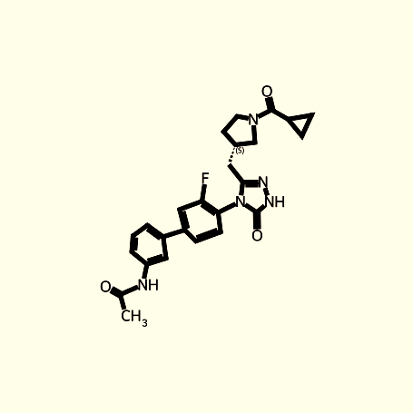 CC(=O)Nc1cccc(-c2ccc(-n3c(C[C@@H]4CCN(C(=O)C5CC5)C4)n[nH]c3=O)c(F)c2)c1